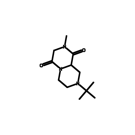 CN1CC(=O)N2CCN(C(C)(C)C)CC2C1=O